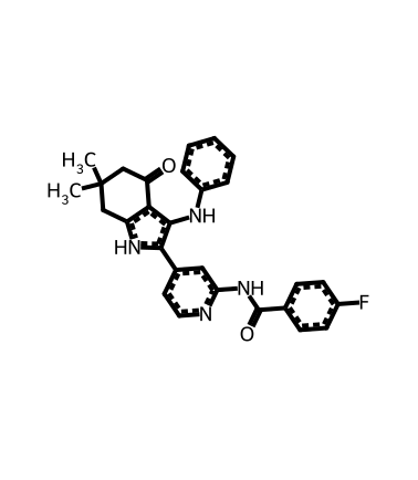 CC1(C)CC(=O)c2c([nH]c(-c3ccnc(NC(=O)c4ccc(F)cc4)c3)c2Nc2ccccc2)C1